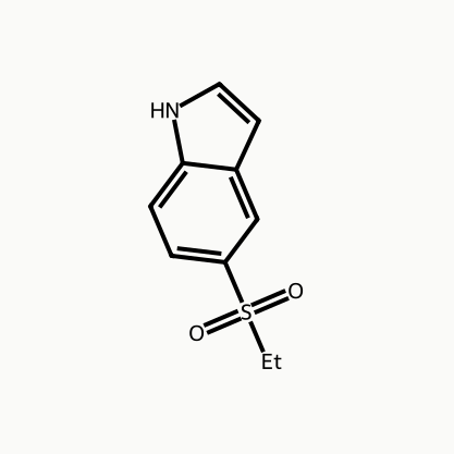 CCS(=O)(=O)c1ccc2[nH]ccc2c1